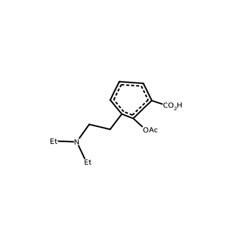 CCN(CC)CCc1cccc(C(=O)O)c1OC(C)=O